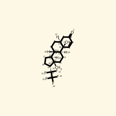 C[C@]12C=CC(=O)C[C@@H]1CC[C@@H]1[C@@H]2CC[C@@]2(C)[C@H]1CC[C@H]2C(F)(F)C(F)(F)F